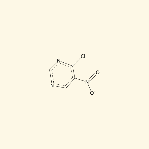 O=[N+]([O-])c1cncnc1Cl